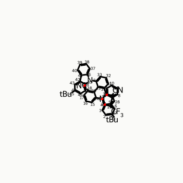 CC(C)(C)c1ccc2c(c1)c1ccccc1n2-c1cccc(C#N)c1-c1c(-c2ccc(C(F)(F)F)cc2C#N)cccc1-n1c2ccccc2c2cc(C(C)(C)C)ccc21